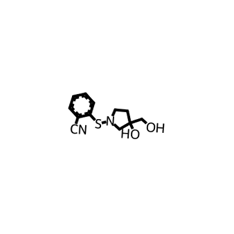 N#Cc1ccccc1SN1CCC(O)(CO)C1